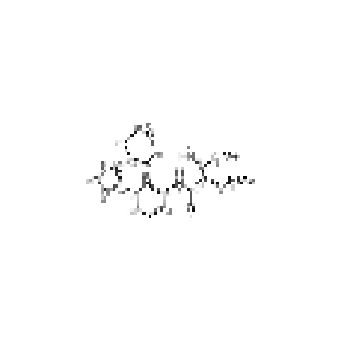 CN/C=C(\C(=N)OC)C(=O)Nc1cccc(-c2nncn2C2CCOCC2)n1